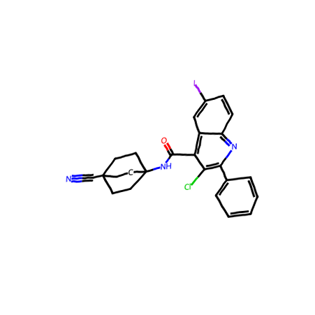 N#CC12CCC(NC(=O)c3c(Cl)c(-c4ccccc4)nc4ccc(I)cc34)(CC1)CC2